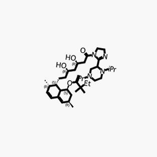 C=C(O[C@H]1C[C@@H](C)C=C2C=C[C@H](C)[C@H](CC[C@@H](O)C[C@@H](O)CC(=O)N3CCN=C3C3CN(C(C)C)CCN3C(C)C)C21)C(C)(C)CC